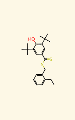 CCc1ccccc1CSC(=S)c1cc(C(C)(C)C)c(O)c(C(C)(C)C)c1